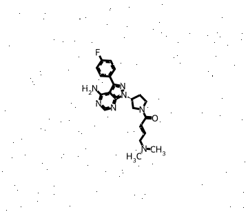 CN(C)CC=CC(=O)N1CC[C@@H](n2nc(-c3ccc(F)cc3)c3c(N)ncnc32)C1